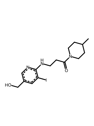 CC1CCN(C(=O)CCNc2ncc(CO)cc2I)CC1